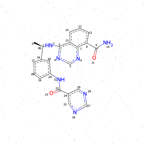 C[C@@H](Nc1ncnc2c(C(N)=O)cccc12)c1cccc(NC(=O)c2cncnc2)c1